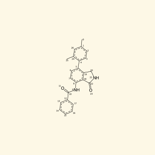 Cc1ccc(-c2ccc(NC(=O)c3ccccc3)c3c2CNC3=O)c(C)c1